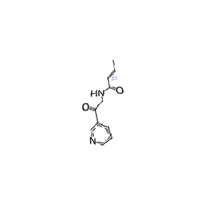 C/C=C/C(=O)NCC(=O)c1cccnc1